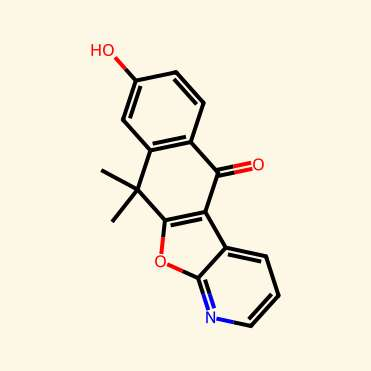 CC1(C)c2cc(O)ccc2C(=O)c2c1oc1ncccc21